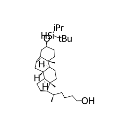 CC(C)[SiH](O[C@H]1CC[C@@]2(C)C(=CC[C@H]3[C@@H]4CC[C@H]([C@H](C)CCCCO)[C@@]4(C)CC[C@@H]32)C1)C(C)(C)C